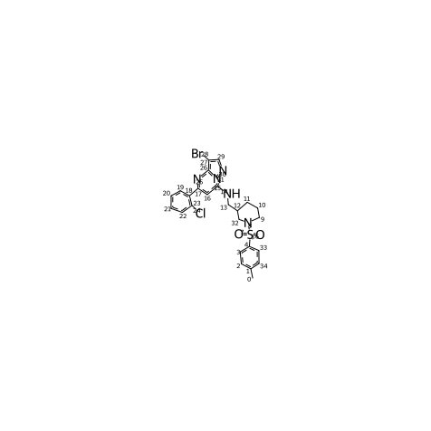 Cc1ccc(S(=O)(=O)N2CCCC(CNc3cc(-c4ccccc4Cl)nc4c(Br)cnn34)C2)cc1